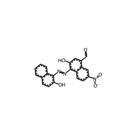 O=Cc1cc(O)c(N=Nc2c(O)ccc3ccccc23)c2ccc([N+](=O)[O-])cc12